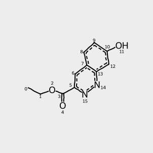 CCOC(=O)c1cc2ccc(O)cc2nn1